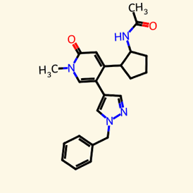 CC(=O)NC1CCCC1c1cc(=O)n(C)cc1-c1cnn(Cc2ccccc2)c1